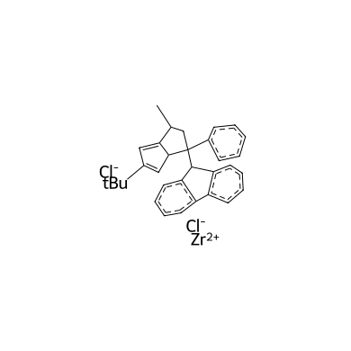 CC1CC(c2ccccc2)(C2c3ccccc3-c3ccccc32)C2C=C(C(C)(C)C)C=C12.[Cl-].[Cl-].[Zr+2]